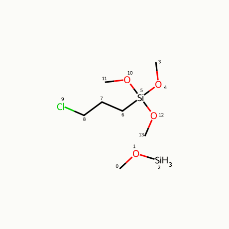 CO[SiH3].CO[Si](CCCCl)(OC)OC